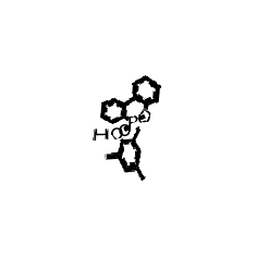 Cc1cc(C)c(O)c(CP2(=O)Oc3ccccc3-c3ccccc32)c1